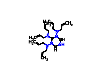 C=CCN(CC=C)B1N(N(CC=C)CC=C)BNBN1N(CC=C)CC=C